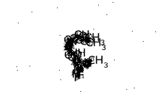 Cc1ccc(-c2cc(C(F)(F)F)nn2-c2ccc(S(=O)(=O)NC(=O)C3CCN([N+]([O-])=NOC(C)OC(=O)OC(C)C)C3)cc2)cc1